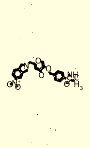 CCS(=N)(=O)c1ccc(COc2coc(CN3Cc4ccc([N+](=O)[O-])cc4C3)cc2=O)cc1